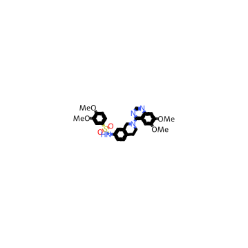 COc1ccc(S(=O)(=O)Nc2ccc3c(c2)CN(c2ncnc4cc(OC)c(OC)cc24)CC3)cc1OC